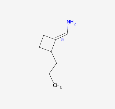 CCCC1CC/C1=C\N